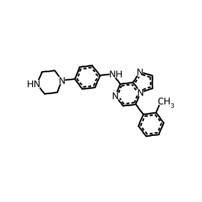 Cc1ccccc1-c1cnc(Nc2ccc(N3CCNCC3)cc2)c2nccn12